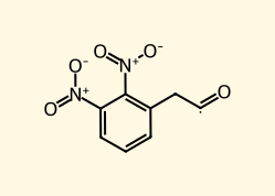 O=[C]Cc1cccc([N+](=O)[O-])c1[N+](=O)[O-]